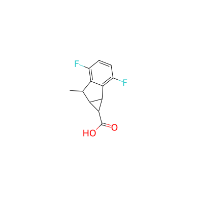 CC1c2c(F)ccc(F)c2C2C(C(=O)O)C12